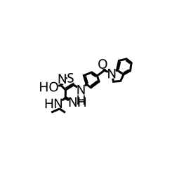 CC(C)NC(=N)c1c(O)nsc1Nc1ccc(C(=O)N2CCc3ccccc32)cc1